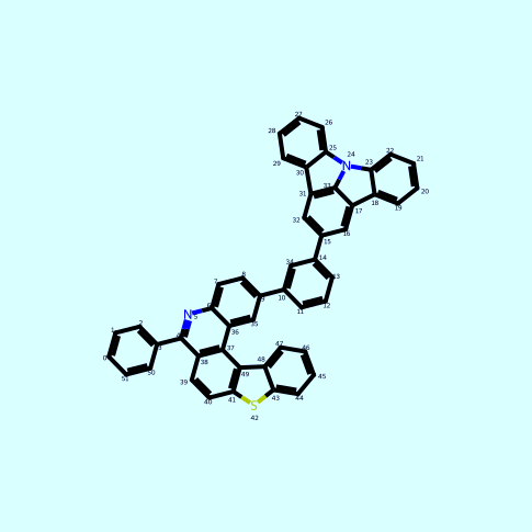 c1ccc(-c2nc3ccc(-c4cccc(-c5cc6c7ccccc7n7c8ccccc8c(c5)c67)c4)cc3c3c2ccc2sc4ccccc4c23)cc1